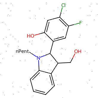 CCCCCN1c2ccccc2C(CO)C1c1cc(F)c(Cl)cc1O